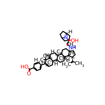 C=C(C)[C@@H]1CC[C@]2(NCCN3C4CC[C@H]3CC(C)(O)C4)CC[C@]3(C)[C@H](CC[C@@H]4[C@@]5(C)CC=C(c6ccc(C(=O)O)cc6)C(C)(C)[C@@H]5CC[C@]43C)[C@@H]12